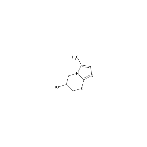 Cc1cnc2n1CC(O)CS2